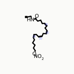 C#CCNC(=O)CCC/C=C\C/C=C\C/C=C\C/C=C\CCCCCO[N+](=O)[O-]